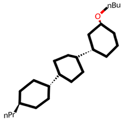 CCCCO[C@@H]1CCC[C@H](C2CCC([C@H]3CC[C@H](CCC)CC3)CC2)C1